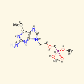 COc1nc(N)nc2c1ncn2CCOCP(=O)(OC(C)C)OC(C)C